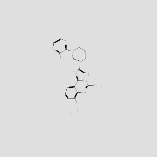 COc1cccc2c1nc(N)n1nc([C@@H]3CCCN(c4nccnc4C)C3)nc21